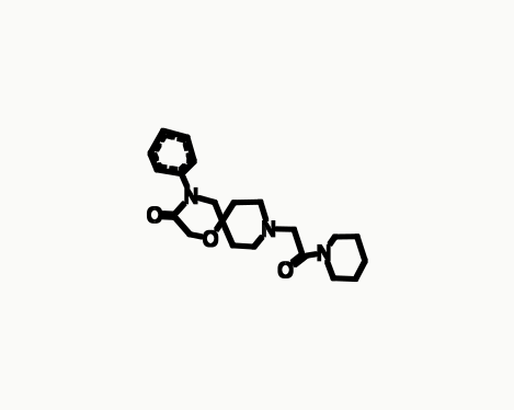 O=C(CN1CCC2(CC1)CN(c1ccccc1)C(=O)CO2)N1CCCCC1